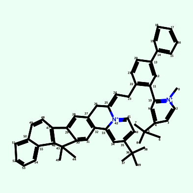 C[n+]1ccc(C(C)(C)C)cc1-c1cc(-c2ccccc2)ccc1C/C=C1/Cc2cc3c(cc2-c2cc(C(C)(C)C)cc[n+]21)C(C)(C)c1c-3ccc2ccccc12